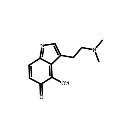 CN(C)CCC1=CN=C2C=CC(=O)C(O)=C12